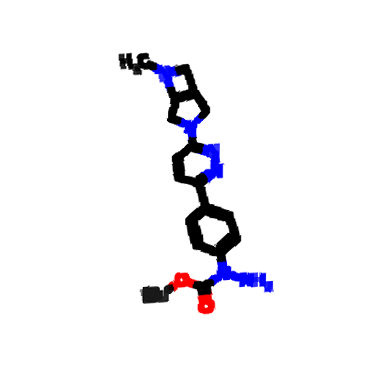 CN1CC2CN(c3ccc(-c4ccc(N(N)C(=O)OC(C)(C)C)cc4)nn3)CC21